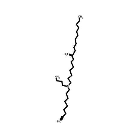 C#CCCCCCCCN(CCCN)CCCCCCCC(=C)CCCCCCCCCC